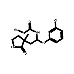 CC(C)(C)OC(=O)NC(CC1(C)CCNC1=O)Oc1cccc(Cl)c1